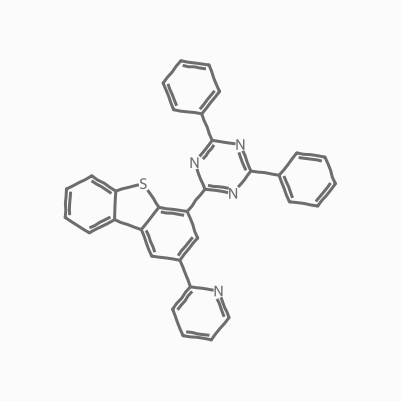 c1ccc(-c2nc(-c3ccccc3)nc(-c3cc(-c4ccccn4)cc4c3sc3ccccc34)n2)cc1